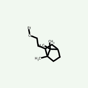 CCOCC[C]1CC2CCC1(C)C2(C)C